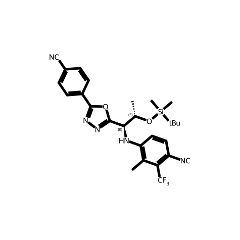 [C-]#[N+]c1ccc(N[C@@H](c2nnc(-c3ccc(C#N)cc3)o2)[C@H](C)O[Si](C)(C)C(C)(C)C)c(C)c1C(F)(F)F